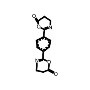 O=C1CCN=C(c2ccc(C3=NCCC(=O)O3)cc2)O1